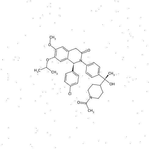 COc1cc2c(cc1OC(C)C)[C@H](c1ccc(Cl)cc1)N(c1ccc([C@](C)(O)C3CCN(C(C)=O)CC3)cc1)C(=O)C2